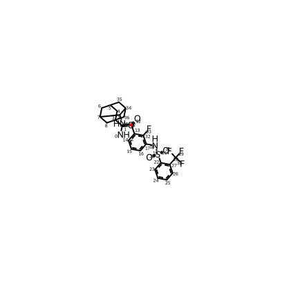 NC(=O)C12CC3CC(C1)C(NC(=O)c1cccc(NS(=O)(=O)c4ccccc4C(F)(F)F)c1F)C(C3)C2